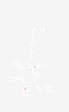 NCCCCC[C@]1(O)O[C@H](CO)[C@@H](O)[C@H](O)[C@@H]1O